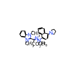 CCOC(=O)/C(=N\N(C)c1ccc(N2CCCC2)c2ccccc12)c1n(C)c2ccccc2[n+]1C